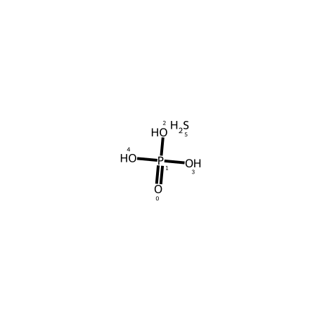 O=P(O)(O)O.S